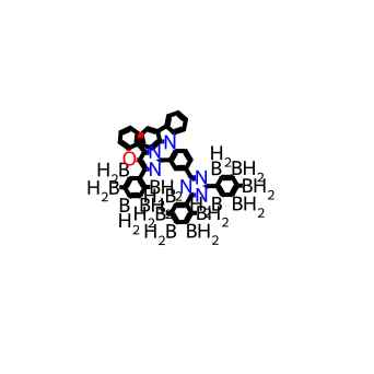 Bc1c(B)c(B)c(-c2nc(-c3ccc(-n4c5ccccc5c5ccccc54)c(-c4nc(-c5c(B)c(B)c(B)c(B)c5B)c5oc6ccccc6c5n4)c3)nc(-c3c(B)c(B)c(B)c(B)c3B)n2)c(B)c1B